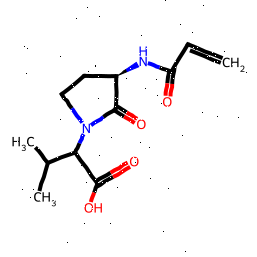 C=CC(=O)N[C@@H]1CCN(C(C(=O)O)C(C)C)C1=O